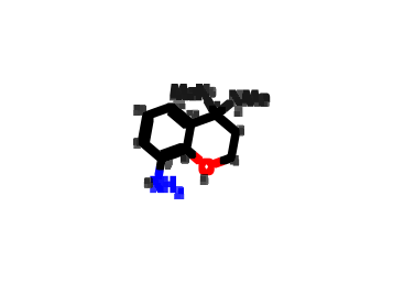 CNC1(NC)CCOc2c(N)cccc21